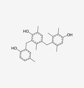 Cc1ccc(O)c(Cc2c(C)c(Cc3c(C)cc(O)c(C)c3C)cc(C)c2O)c1